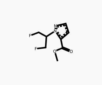 COC(=O)c1ccnn1C(CF)CF